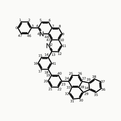 c1ccc(-c2ccc3ccc4ccc(-c5cccc(-c6cccc(-c7ccc8c9c(cccc79)-c7ccccc7-8)c6)c5)nc4c3n2)cc1